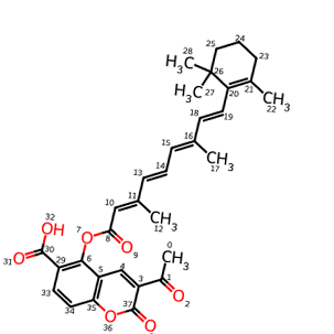 CC(=O)c1cc2c(OC(=O)/C=C(C)/C=C/C=C(C)/C=C/C3=C(C)CCCC3(C)C)c(C(=O)O)ccc2oc1=O